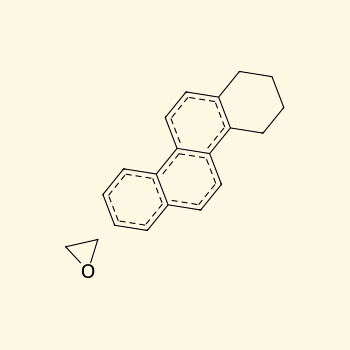 C1CO1.c1ccc2c(c1)ccc1c3c(ccc12)CCCC3